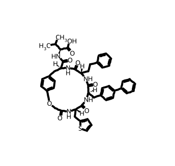 CC(C)[C@H](NC(=O)[C@@H]1Cc2ccc(cc2)OCC(=O)N[C@@H](Cc2cccs2)C(=O)N[C@H](Cc2ccc(-c3ccccc3)cc2)C(=O)N[C@@H](CCc2ccccc2)C(=O)N1)C(=O)O